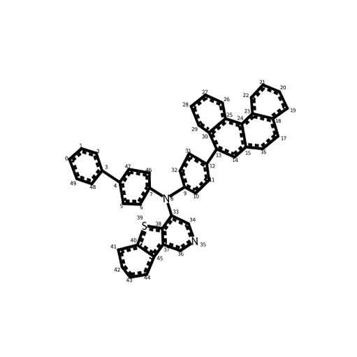 c1ccc(-c2ccc(N(c3ccc(-c4cc5ccc6ccccc6c5c5ccccc45)cc3)c3cncc4c3sc3ccccc34)cc2)cc1